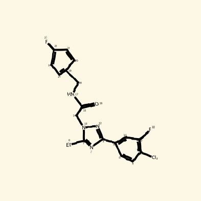 CCc1nc(-c2ccc(Cl)c(F)c2)nn1CC(=O)NCc1ccc(F)cc1